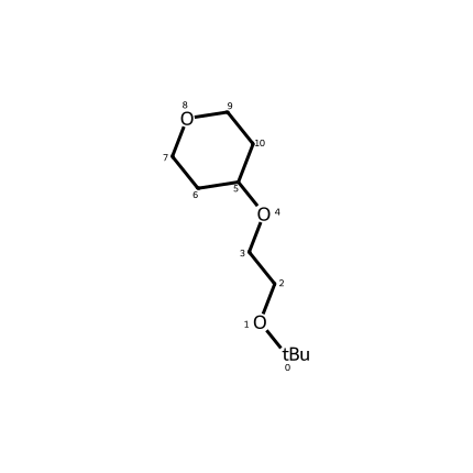 CC(C)(C)OCCOC1CCOCC1